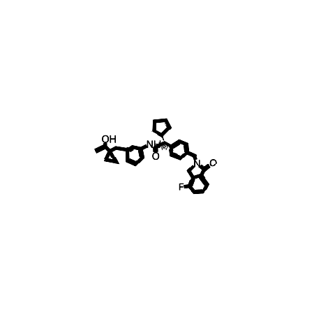 C=C(O)C1(Cc2cccc(NC(=O)[C@@H](c3ccc(CN4Cc5c(F)cccc5C4=O)cc3)C3CCCC3)c2)CC1